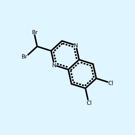 Clc1cc2ncc(C(Br)Br)nc2cc1Cl